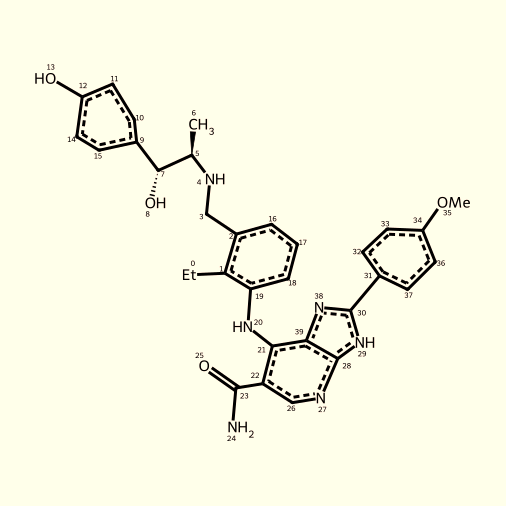 CCc1c(CN[C@H](C)[C@H](O)c2ccc(O)cc2)cccc1Nc1c(C(N)=O)cnc2[nH]c(-c3ccc(OC)cc3)nc12